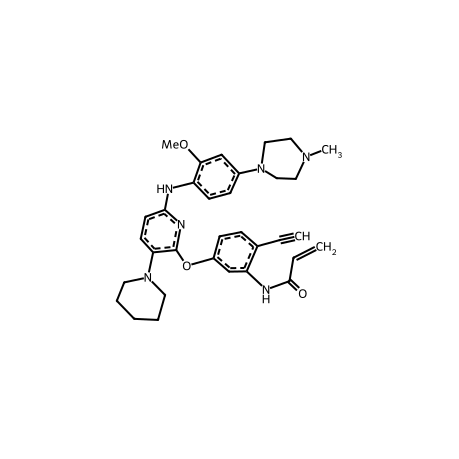 C#Cc1ccc(Oc2nc(Nc3ccc(N4CCN(C)CC4)cc3OC)ccc2N2CCCCC2)cc1NC(=O)C=C